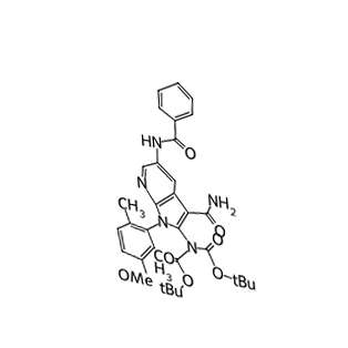 COc1ccc(C)c(-n2c(N(C(=O)OC(C)(C)C)C(=O)OC(C)(C)C)c(C(N)=O)c3cc(NC(=O)c4ccccc4)cnc32)c1C